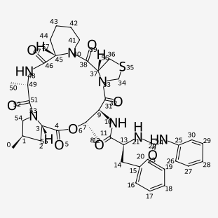 C[C@@H]1C[C@H]2C(=O)O[C@@H](C)[C@H](NC(=O)[C@H](Cc3ccccc3)NC(=O)Nc3ccccc3)C(=O)N3CSC[C@H]3C(=O)N3CCCC[C@H]3C(=O)N[C@@H](C)C(=O)N2C1